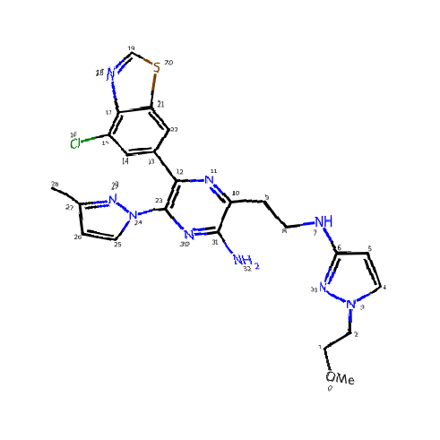 COCCn1ccc(NCCc2nc(-c3cc(Cl)c4ncsc4c3)c(-n3ccc(C)n3)nc2N)n1